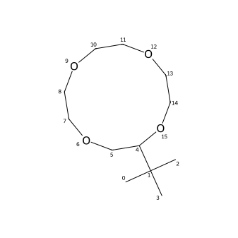 CC(C)(C)C1COCCOCCOCCO1